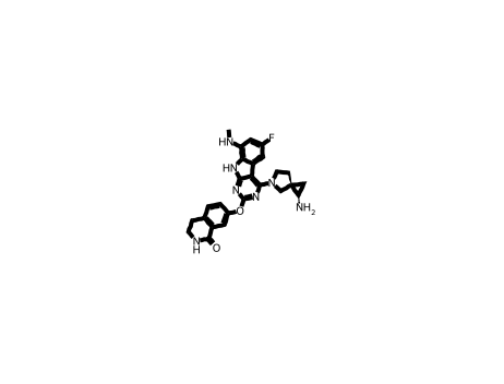 CNc1cc(F)cc2c1[nH]c1nc(Oc3ccc4c(c3)C(=O)NCC4)nc(N3CC[C@]4(C[C@@H]4N)C3)c12